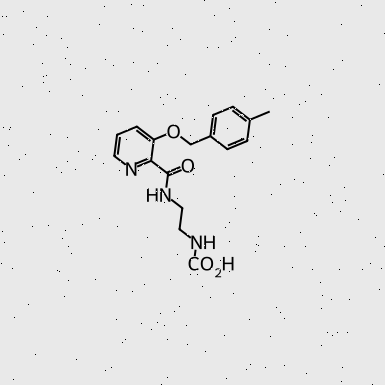 Cc1ccc(COc2cccnc2C(=O)NCCNC(=O)O)cc1